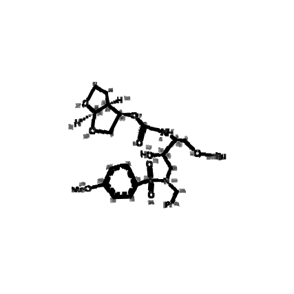 CCCCOC[C@H](NC(=O)O[C@H]1CO[C@H]2OCC[C@H]21)[C@H](O)CN(CC(C)C)S(=O)(=O)c1ccc(OC)cc1